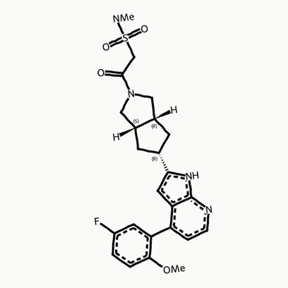 CNS(=O)(=O)CC(=O)N1C[C@H]2C[C@@H](c3cc4c(-c5cc(F)ccc5OC)ccnc4[nH]3)C[C@H]2C1